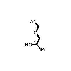 CC(=O)COC[C@H](O)C(C)C